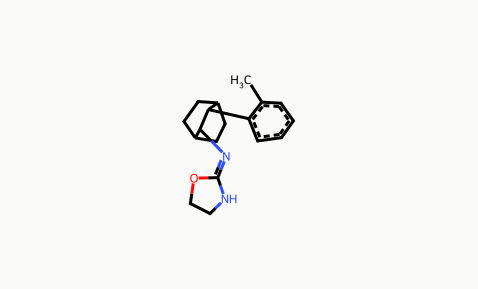 Cc1ccccc1C1C2CCC(CC2)C1/N=C1/NCCO1